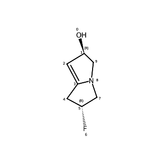 O[C@@H]1C=C2C[C@@H](F)CN2C1